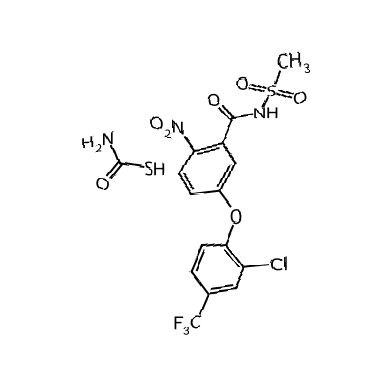 CS(=O)(=O)NC(=O)c1cc(Oc2ccc(C(F)(F)F)cc2Cl)ccc1[N+](=O)[O-].NC(=O)S